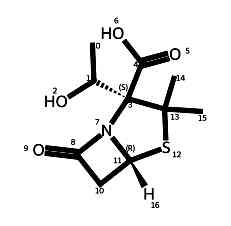 CC(O)[C@@]1(C(=O)O)N2C(=O)C[C@H]2SC1(C)C